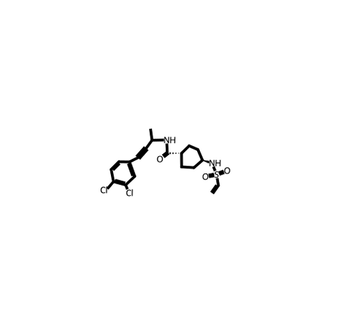 C=CS(=O)(=O)N[C@H]1CC[C@H](C(=O)NC(C)C#Cc2ccc(Cl)c(Cl)c2)CC1